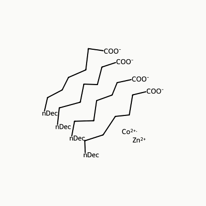 CCCCCCCCCCCCCCCC(=O)[O-].CCCCCCCCCCCCCCCC(=O)[O-].CCCCCCCCCCCCCCCC(=O)[O-].CCCCCCCCCCCCCCCC(=O)[O-].[Co+2].[Zn+2]